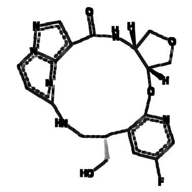 O=C1N[C@@H]2COC[C@@H]2Oc2ncc(F)cc2[C@H](CO)CNc2ccn3ncc1c3n2